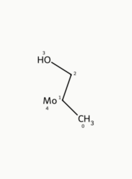 CCCO.[Mo]